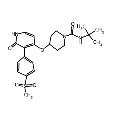 CC(C)(C)NC(=O)N1CCC(Oc2cc[nH]c(=O)c2-c2ccc(S(C)(=O)=O)cc2)CC1